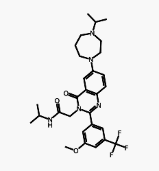 COc1cc(-c2nc3ccc(N4CCCN(C(C)C)CC4)cc3c(=O)n2CC(=O)NC(C)C)cc(C(F)(F)F)c1